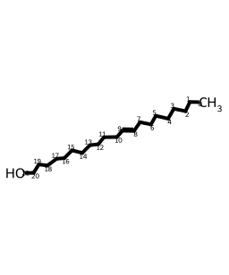 CCCCCCCC/C=C/CCCCCCCCCCCO